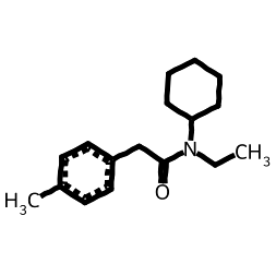 CCN(C(=O)Cc1ccc(C)cc1)C1CCCCC1